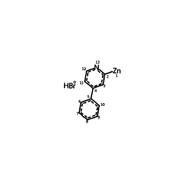 Br.[Zn][c]1cc(-c2ccccc2)ccn1